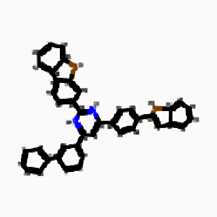 c1ccc(-c2cccc(-c3cc(-c4ccc(-c5cc6ccccc6s5)cc4)nc(-c4ccc5c(c4)sc4ccccc45)n3)c2)cc1